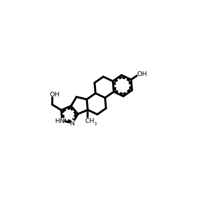 CC12CCC3c4ccc(O)cc4CCC3C1Cc1c2n[nH]c1CO